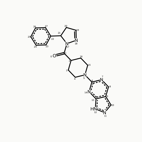 O=C(C1CCN(c2ncc3cn[nH]c3n2)CC1)N1N=CCC1c1ccccc1